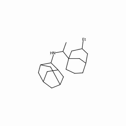 CCC1CC2CCCC(C(C)NC3C4CC5CC(C4)CC3C5)(C1)C2